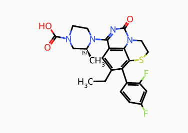 CCc1cc2c(N3CCN(C(=O)O)C[C@@H]3C)nc(=O)n3c2c(c1-c1ccc(F)cc1F)SCC3